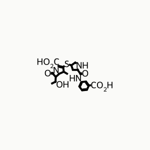 CC(O)C1C(=O)N2C(C(=O)O)=C(SC3CNC(C(=O)Nc4cccc(C(=O)O)c4)C3)C(C)C12